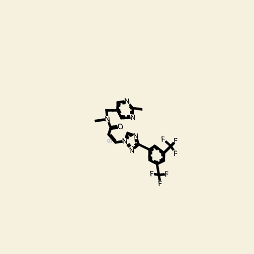 Cc1ncc(CN(C)C(=O)/C=C\n2cnc(-c3cc(C(F)(F)F)cc(C(F)(F)F)c3)n2)cn1